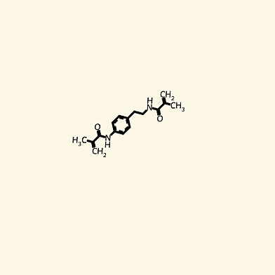 C=C(C)C(=O)NCCc1ccc(NC(=O)C(=C)C)cc1